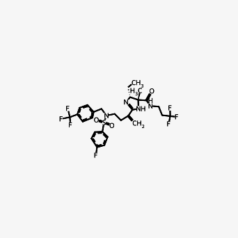 C=C(CCN(Cc1ccc(C(F)(F)F)cc1)S(=O)(=O)c1ccc(F)cc1)C1=N[C@H](CC)[C@](C)(C(=O)NCCC(F)(F)F)N1